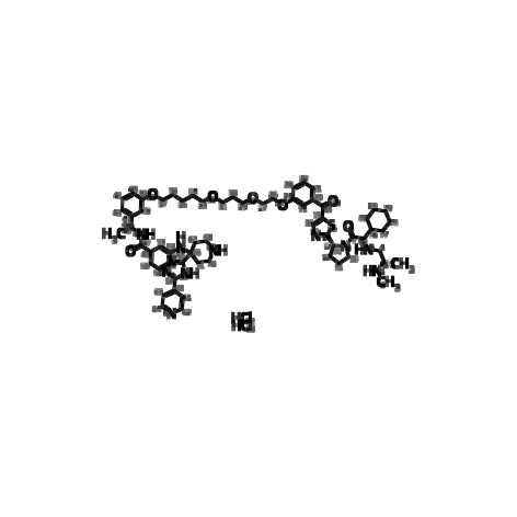 CN[C@@H](C)CN[C@H](C(=O)N1CCC[C@H]1c1ncc(C(=O)c2cccc(OCCOCCCOCCCCCOc3cccc([C@@H](C)NC(=O)c4cccc(NC5(c6nnc(-c7ccncc7)[nH]6)CCNCC5)c4)c3)c2)s1)C1CCCCC1.Cl.Cl